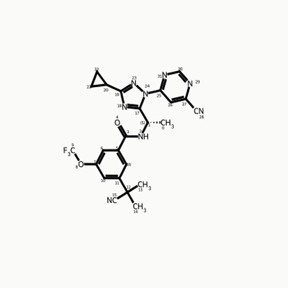 C[C@H](NC(=O)c1cc(OC(F)(F)F)cc(C(C)(C)C#N)c1)c1nc(C2CC2)nn1-c1cc(C#N)ncn1